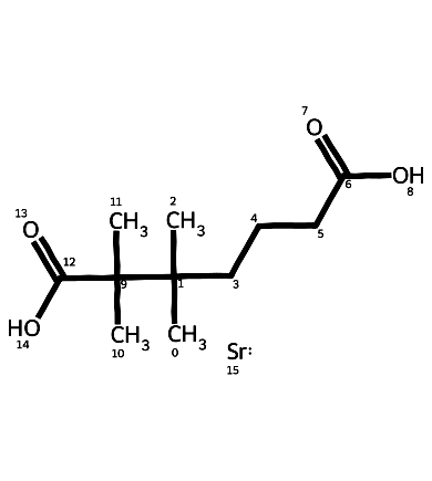 CC(C)(CCCC(=O)O)C(C)(C)C(=O)O.[Sr]